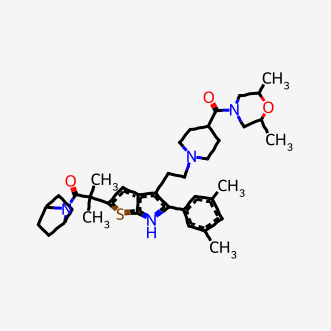 Cc1cc(C)cc(-c2[nH]c3sc(C(C)(C)C(=O)N4C5CCC4CC5)cc3c2CCN2CCC(C(=O)N3CC(C)OC(C)C3)CC2)c1